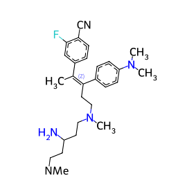 CNCCC(N)CCN(C)CC/C(=C(\C)c1ccc(C#N)c(F)c1)c1ccc(N(C)C)cc1